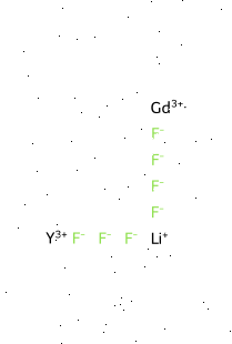 [F-].[F-].[F-].[F-].[F-].[F-].[F-].[Gd+3].[Li+].[Y+3]